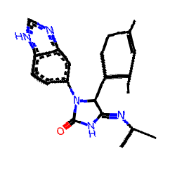 CC1=CC(C)C(C2C(=NC(C)C)NC(=O)N2c2ccc3[nH]cnc3c2)CC1